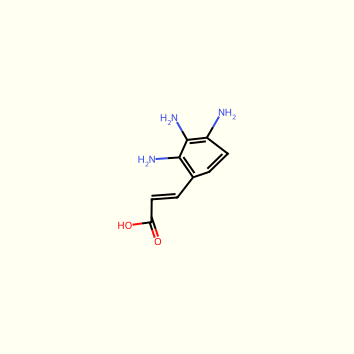 Nc1ccc(C=CC(=O)O)c(N)c1N